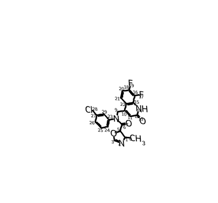 CC1N=COC1C(=O)N(Cc1cc(=O)[nH]c2c(F)c(F)ccc12)c1cccc(Cl)c1